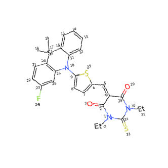 CCN1C(=O)C(=Cc2ccc(N3c4ccccc4[Si](C)(C)c4ccc(F)cc43)s2)C(=O)N(CC)C1=S